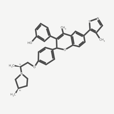 CC1=C(c2cccc(O)c2)C(c2ccc(OC[C@H](C)N3CC[C@@H](C)C3)cc2)Oc2ccc(-c3sncc3C)cc21